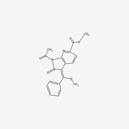 COC(=O)c1ccc2c(n1)N(C(C)=O)C(=O)/C2=C(/OC)c1ccccc1